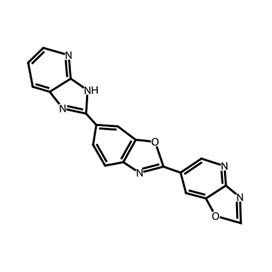 c1cnc2[nH]c(-c3ccc4nc(-c5cnc6ncoc6c5)oc4c3)nc2c1